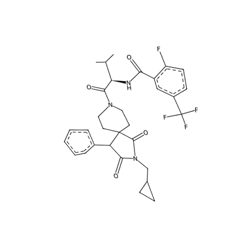 CC(C)[C@@H](NC(=O)c1cc(C(F)(F)F)ccc1F)C(=O)N1CCC2(CC1)C(=O)N(CC1CC1)C(=O)C2c1ccccc1